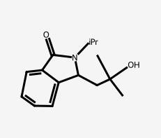 CC(C)N1C(=O)c2ccccc2C1CC(C)(C)O